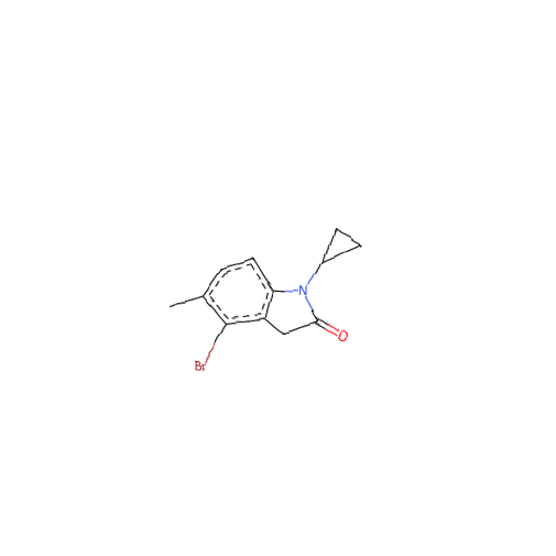 Cc1ccc2c(c1Br)CC(=O)N2C1CC1